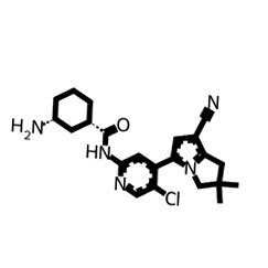 CC1(C)Cc2c(C#N)cc(-c3cc(NC(=O)[C@H]4CCC[C@@H](N)C4)ncc3Cl)n2C1